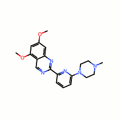 COc1cc(OC)c2cnc(-c3cccc(N4CCN(C)CC4)n3)nc2c1